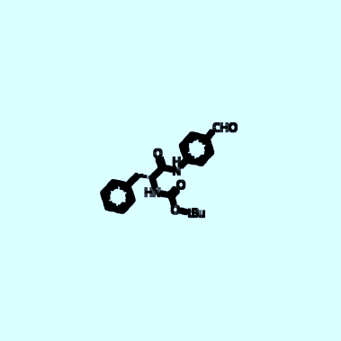 CC(C)(C)OC(=O)N[C@H](Cc1ccccc1)C(=O)Nc1ccc(C=O)cc1